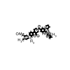 COC[C@H]1CN(c2ccc3c4c(c(=O)oc3c2C)CN(C(=O)c2ccc(C(=O)NS(=O)(=O)C3(C)CC3)c(N3CCCC3)c2)CC4)CCN1C